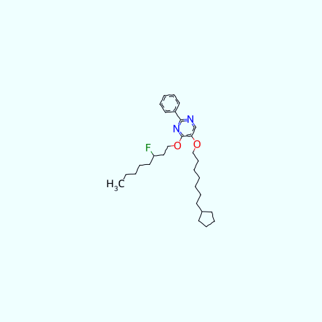 CCCCCC(F)CCOc1nc(-c2ccccc2)ncc1OCCCCCCCC1CCCC1